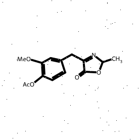 COc1cc(CC2=NC(C)OC2=O)ccc1OC(C)=O